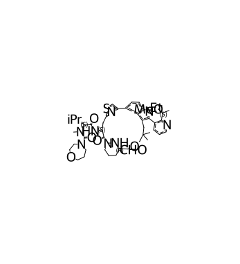 CCn1c(-c2cccnc2[C@H](C)OC)c2c3cc(ccc31)-c1csc(n1)C[C@H](NC(=O)[C@H](C(C)C)N(C)C(=O)N1CCCOCC1)C(=O)N1CCC[C@](C=O)(COCC(C)(C)C2)N1